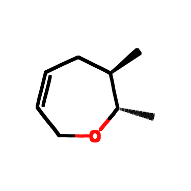 C[C@@H]1CC=CCO[C@H]1C